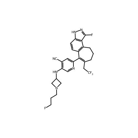 N#Cc1cc(C2=C(CC(F)(F)F)CCCc3c2ccc2[nH]nc(F)c32)ncc1NC1CN(CCCF)C1